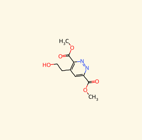 COC(=O)c1cc(CCO)c(C(=O)OC)nn1